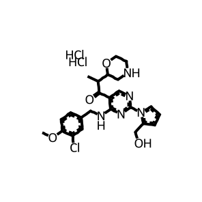 COc1ccc(CNc2nc(-n3cccc3CO)ncc2C(=O)C(C)C2CNCCO2)cc1Cl.Cl.Cl